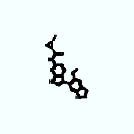 COc1cc2cn[nH]c2cc1-c1c[nH]c2nc(NC(=O)[C@@H]3C[C@@H]3F)ccc12